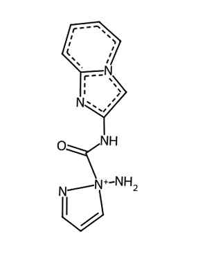 N[N+]1(C(=O)Nc2cn3ccccc3n2)C=CC=N1